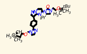 CC(C)[C@H]1CN(CCO[Si](C)(C)C(C)(C)C)C(=O)N1c1ccn2ncc(-c3ccc(-c4nccn4COCC[Si](C)(C)C)cc3)c2n1